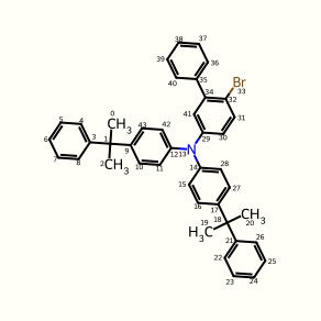 CC(C)(c1ccccc1)c1ccc(N(c2ccc(C(C)(C)c3ccccc3)cc2)c2ccc(Br)c(-c3ccccc3)c2)cc1